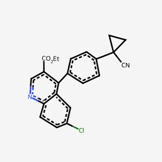 CCOC(=O)c1cnc2ccc(Cl)cc2c1-c1ccc(C2(C#N)CC2)cc1